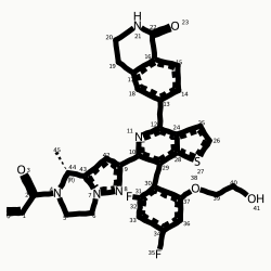 C=CC(=O)N1CCn2nc(-c3nc(-c4ccc5c(c4)CCNC5=O)c4ccsc4c3-c3c(F)cc(F)cc3OCCO)cc2[C@H]1C